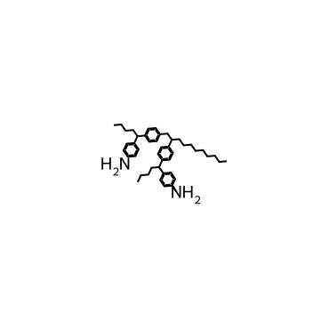 CCCCCCCCCC(Cc1ccc(C(CCCC)c2ccc(N)cc2)cc1)c1ccc(C(CCCC)c2ccc(N)cc2)cc1